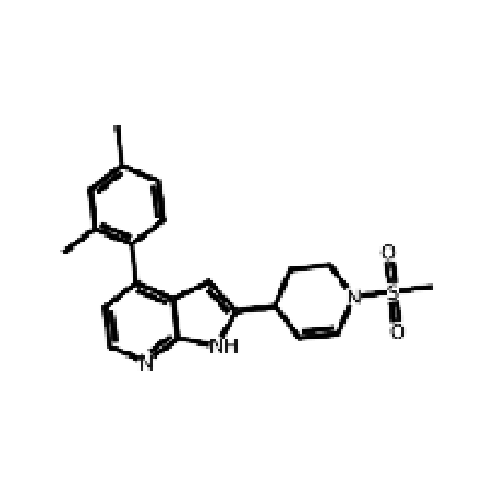 Cc1ccc(-c2ccnc3[nH]c(C4C=CN(S(C)(=O)=O)CC4)cc23)c(C)c1